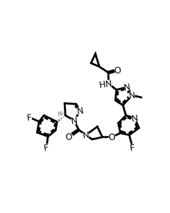 Cn1nc(NC(=O)C2CC2)cc1-c1cc(OC2CN(C(=O)N3N=CC[C@H]3c3cc(F)cc(F)c3)C2)c(F)cn1